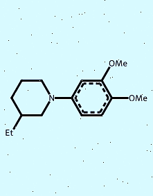 CCC1CCCN(c2ccc(OC)c(OC)c2)C1